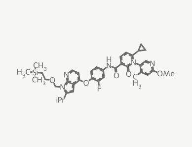 COc1cc(C)c(-n2c(C3CC3)ccc(C(=O)Nc3ccc(Oc4ccnc5c4cc(C(C)C)n5COCC[Si](C)(C)C)c(F)c3)c2=O)cn1